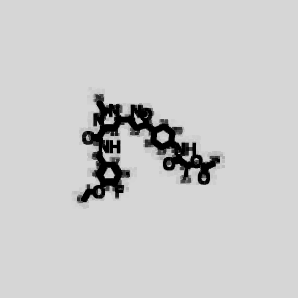 CCOc1cc(CNC(=O)c2cc(C3=NOC(C4CCC(NC(=O)[C@H](C)OC(C)=O)CC4)C3)nc(C)n2)ccc1F